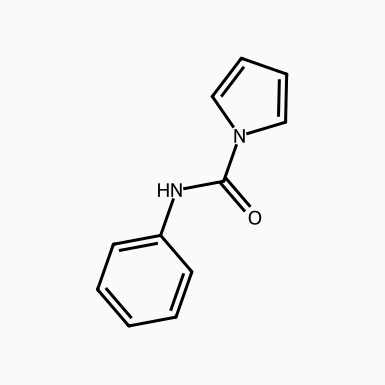 O=C(Nc1ccccc1)n1cccc1